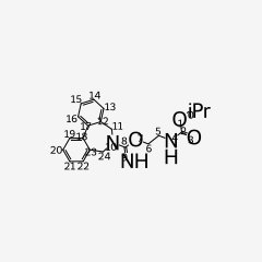 CC(C)OC(=O)NCCOC(=N)N1Cc2ccccc2-c2ccccc2C1